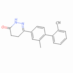 Cc1cc(C2=NNC(=O)CC2)ccc1-c1ccccc1C#N